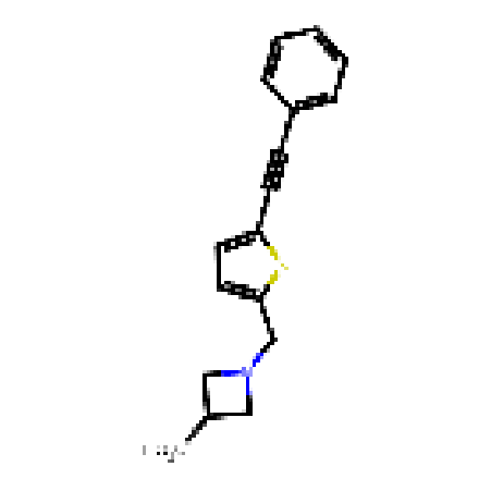 O=C(O)C1CN(Cc2ccc(C#Cc3ccccc3)s2)C1